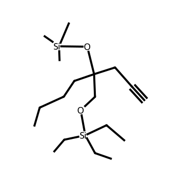 C#CCC(CCCC)(CO[Si](CC)(CC)CC)O[Si](C)(C)C